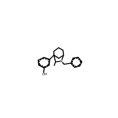 CC1N(Cc2ccccc2)C2CCCC1(c1cccc(O)c1)C2